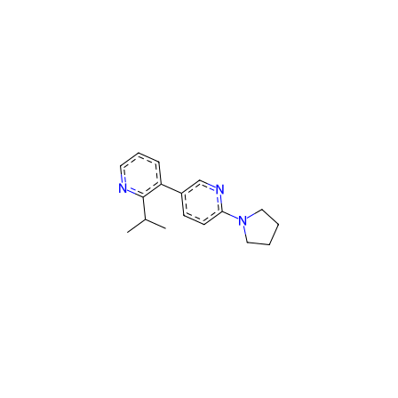 CC(C)c1ncccc1-c1ccc(N2CCCC2)nc1